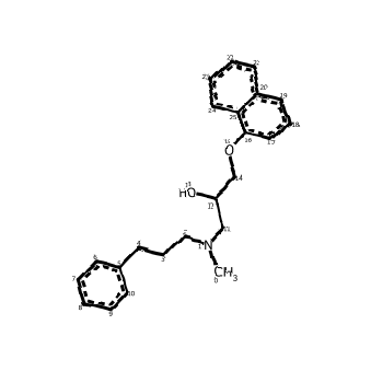 CN(CCCc1ccccc1)CC(O)COc1cccc2ccccc12